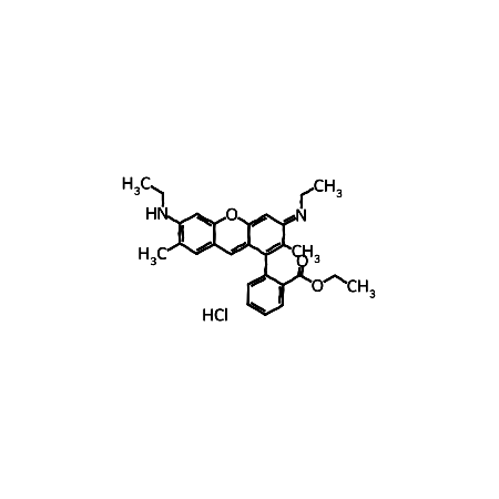 CCN=c1cc2oc3cc(NCC)c(C)cc3cc-2c(-c2ccccc2C(=O)OCC)c1C.Cl